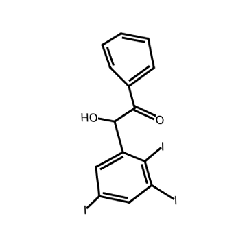 O=C(c1ccccc1)C(O)c1cc(I)cc(I)c1I